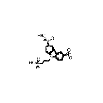 O=[N+]([O-])c1ccc2c(c1)c1cc([N+](=O)[O-])ccc1n2CCCS(=O)(=O)O.[NaH]